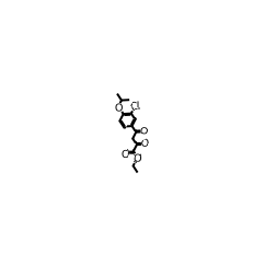 CCOC(=O)C(=O)CC(=O)c1ccc(OC(C)C)c(Cl)c1